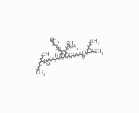 CCCCCCC(CCCC)COC(=O)CCCCCCCCC(CCCCCCCCC(=O)OCC(CCCC)CCCCCC)N(CCCCN(C)C)C(O)CCSSCCCCC